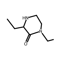 CCC1NCCN(CC)C1=O